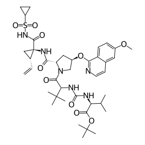 C=C[C@@H]1C[C@]1(NC(=O)[C@@H]1C[C@@H](Oc2nccc3cc(OC)ccc23)CN1C(=O)C(NC(=O)N[C@H](C(=O)OC(C)(C)C)C(C)C)C(C)(C)C)C(=O)NS(=O)(=O)C1CC1